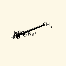 CCCCCCCCC=CCCCCCCCC(=O)OCC(O)COP(=O)([O-])O.[Na+]